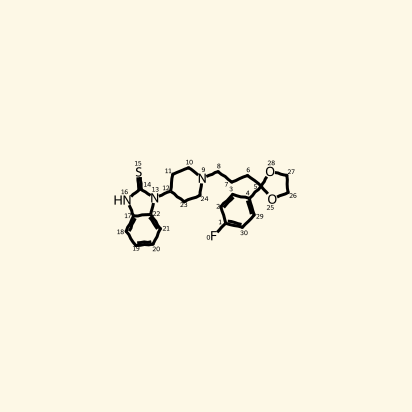 Fc1ccc(C2(CCCN3CCC(n4c(=S)[nH]c5ccccc54)CC3)OCCO2)cc1